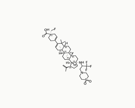 C=C(C)[C@@H]1CC[C@]2(NC(CN3CCS(=O)(=O)CC3)C(F)(F)F)CC[C@]3(C)[C@H](CC[C@@H]4[C@@]5(C)CC=C(C6=CC[C@](CF)(C(=O)O)CC6)C(C)(C)[C@@H]5CC[C@]43C)[C@@H]12